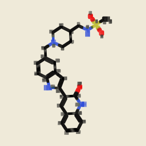 CS(=O)(=O)NCC1CCN(Cc2ccc3[nH]c(-c4cc5ccccc5[nH]c4=O)cc3c2)CC1